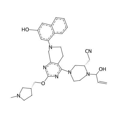 C=CC(O)N1CCN(c2nc(OC[C@@H]3CCN(C)C3)nc3c2CCN(c2cc(O)cc4ccccc24)C3)C[C@@H]1CC#N